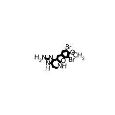 COc1c(Br)cc(CC2C(=O)NCCc3[nH]c(N)nc32)cc1Br